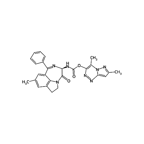 Cc1cc2c3c(c1)C(c1ccccc1)=N[C@@H](NC(=O)Oc1nnc4cc(C)nn4c1C)C(=O)N3CC2